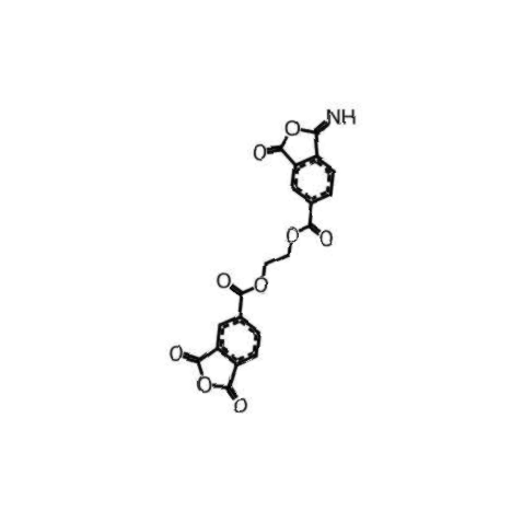 N=C1OC(=O)c2cc(C(=O)OCCOC(=O)c3ccc4c(c3)C(=O)OC4=O)ccc21